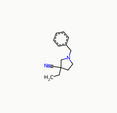 [CH2]CC1(C#N)CCN(Cc2ccccc2)C1